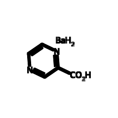 O=C(O)c1cnccn1.[BaH2]